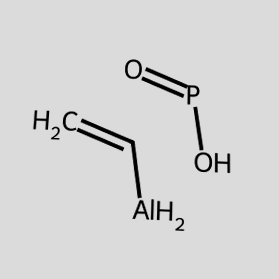 C=[CH][AlH2].O=PO